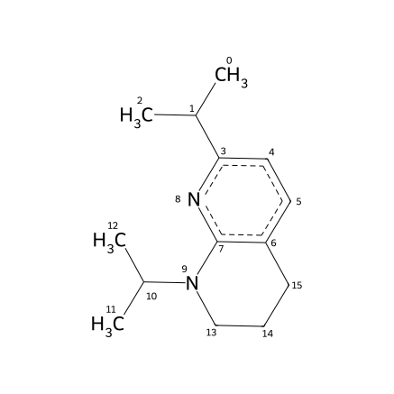 CC(C)c1ccc2c(n1)N(C(C)C)CCC2